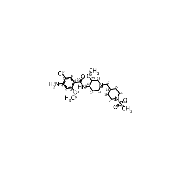 COc1cc(N)c(Cl)cc1C(=O)NC1CCN(CC2CCN(S(C)(=O)=O)CC2)CC1OC